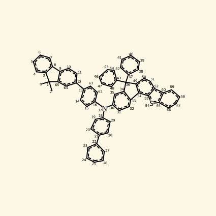 CC1(C)c2ccccc2-c2ccc(-c3ccc(N(c4ccc(-c5ccccc5)cc4)c4ccc5c(c4)C(c4ccccc4)(c4ccccc4)c4ccc6c(sc7ccccc76)c4-5)cc3)cc21